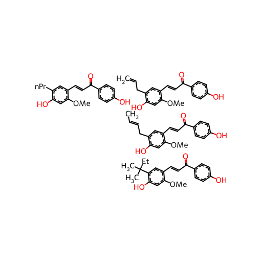 C=CCc1cc(C=CC(=O)c2ccc(O)cc2)c(OC)cc1O.CC=CCc1cc(C=CC(=O)c2ccc(O)cc2)c(OC)cc1O.CCC(C)(C)c1cc(C=CC(=O)c2ccc(O)cc2)c(OC)cc1O.CCCc1cc(C=CC(=O)c2ccc(O)cc2)c(OC)cc1O